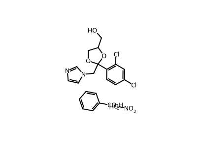 O=C(O)c1ccccc1.O=[N+]([O-])O.OCC1COC(Cn2ccnc2)(c2ccc(Cl)cc2Cl)O1